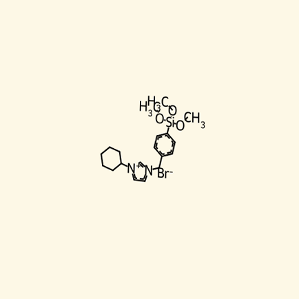 CO[Si](OC)(OC)c1ccc(Cn2cc[n+](C3CCCCC3)c2)cc1.[Br-]